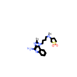 CCc1nc2c(N)nc3ccccc3c2n1CCCCN(C(C)=O)C1CCS(=O)(=O)C1